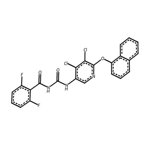 O=C(NC(=O)c1c(F)cccc1F)Nc1cnc(Oc2cccc3ccccc23)c(Cl)c1Cl